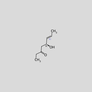 C/C=C/[C@@H](O)CC(=O)CC